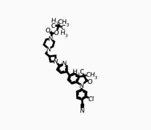 CC(C)(C)OC(=O)N1CCN(CC2CN(c3ccc(-c4ccc5c(c4)C(C)(C)C(=O)N5c4ccc(C#N)c(Cl)c4)cn3)C2)CC1